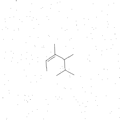 C/C=C(/C)C(C)C(C)C